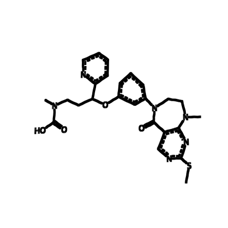 CSc1ncc2c(n1)N(C)CCN(c1cccc(OC(CCN(C)C(=O)O)c3ccccn3)c1)C2=O